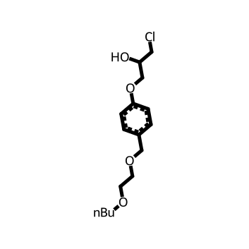 CCCCOCCOCc1ccc(OCC(O)CCl)cc1